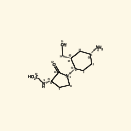 N[C@@H]1CC[C@H](N2CC[C@H](NC(=O)O)C2=O)[C@H](CO)C1